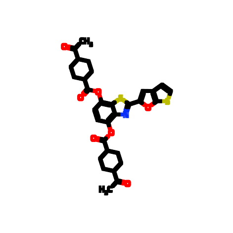 CC(=O)C1CCC(C(=O)Oc2ccc(OC(=O)C3CCC(C(C)=O)CC3)c3sc(-c4cc5ccsc5o4)nc23)CC1